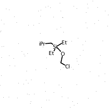 CC[Si](CC)(CC(C)C)OCCl